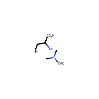 CC(C)CC(N)C(=O)O.CN(C)C=O